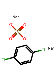 Clc1ccc(Cl)cc1.O=S(=O)([O-])[O-].[Na+].[Na+]